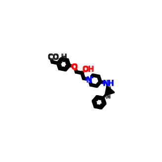 O=C(O)Cc1ccc(OCC(O)CN2CCC(N[C@@H]3C[C@H]3c3ccccc3)CC2)cc1